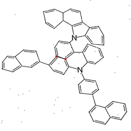 C1=CC2C=Cc3c(n(-c4ccccc4-c4ccccc4N(c4ccc(-c5ccc6ccccc6c5)cc4)c4ccc(-c5cccc6ccccc56)cc4)c4ccccc34)C2C=C1